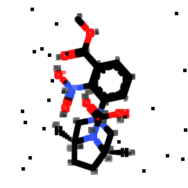 COC(=O)c1cccc(N2C[C@H]3CC[C@@H](C2)N3C(=O)O)c1[N+](=O)[O-]